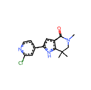 CN1CC(C)(C)c2[nH]c(-c3ccnc(Cl)c3)cc2C1=O